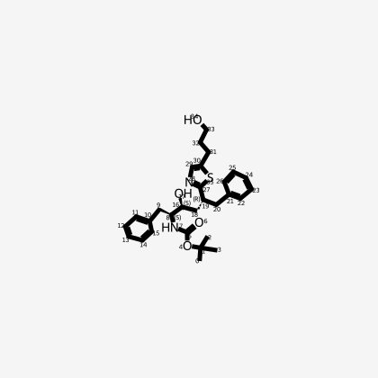 CC(C)(C)OC(=O)N[C@@H](Cc1ccccc1)[C@@H](O)C[C@@H](Cc1ccccc1)c1ncc(CCCO)s1